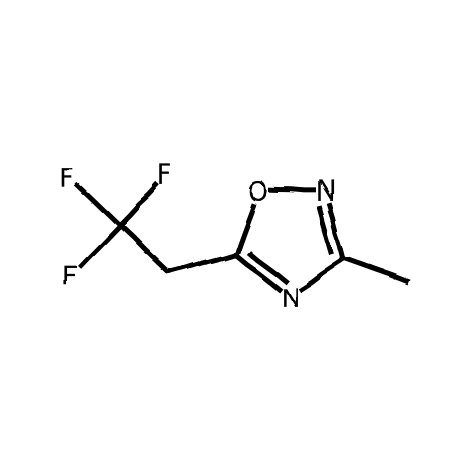 Cc1noc(CC(F)(F)F)n1